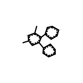 Cc1[c]c(C)c(-c2cc[c]cc2)c(-c2ccccc2)c1